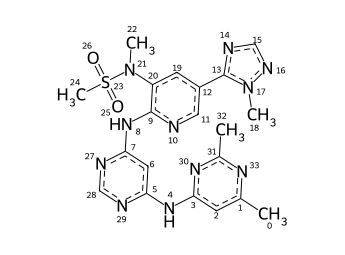 Cc1cc(Nc2cc(Nc3ncc(-c4ncnn4C)cc3N(C)S(C)(=O)=O)ncn2)nc(C)n1